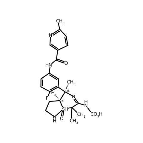 Cc1ccc(C(=O)Nc2ccc(F)c([C@@]3(C)N=C(NC(=O)O)C(C)(C)[SH]4(=O)NCC[C@@H]34)c2)cn1